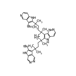 CC(C)(C)c1[nH]c2cnncc2c1C(C)(C)CCC(C)(C)c1[nH]c2ccnnc2c1C(C)(C)CCC(C)(C)c1[nH]c2ccncc2c1C(C)(C)C